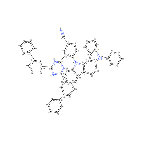 N#Cc1ccc(-n2c3ccccc3c3ccc4c(c5ccccc5n4-c4ccccc4)c32)c(-c2nc(-c3cccc(-c4ccccc4)c3)nc(-c3cccc(-c4ccccc4)c3)n2)c1